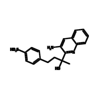 CC(O)(CCc1ccc(S(=O)(=O)O)cc1)c1nc2ccccc2cc1N